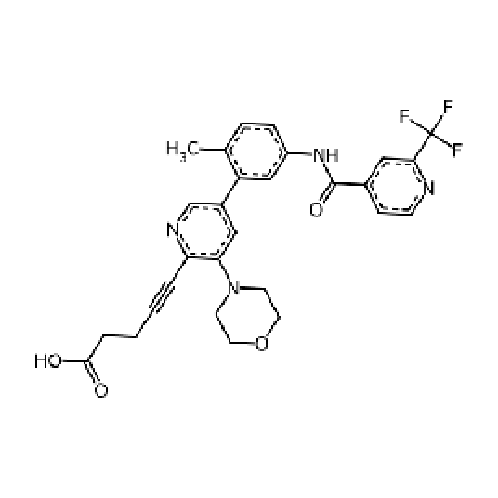 Cc1ccc(NC(=O)c2ccnc(C(F)(F)F)c2)cc1-c1cnc(C#CCCC(=O)O)c(N2CCOCC2)c1